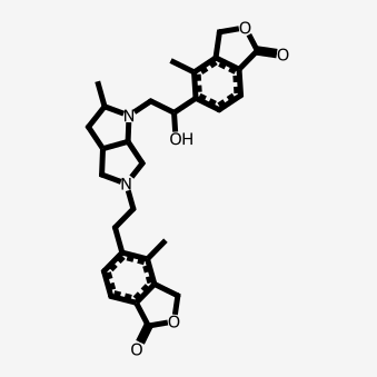 Cc1c(CCN2CC3CC(C)N(CC(O)c4ccc5c(c4C)COC5=O)C3C2)ccc2c1COC2=O